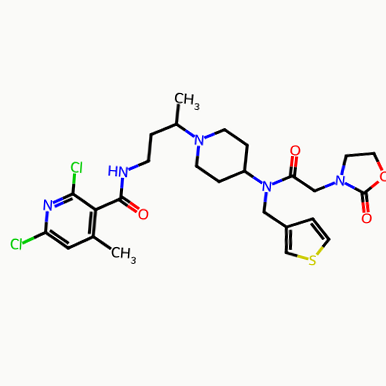 Cc1cc(Cl)nc(Cl)c1C(=O)NCCC(C)N1CCC(N(Cc2ccsc2)C(=O)CN2CCOC2=O)CC1